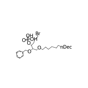 CCCCCCCCCCCCCCCCOCC(OCc1ccccc1)C(CCCBr)OP(=O)(O)O